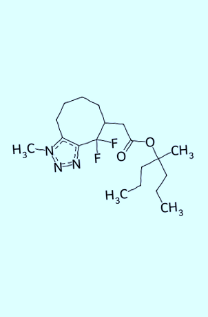 CCCC(C)(CCC)OC(=O)CC1CCCCc2c(nnn2C)C1(F)F